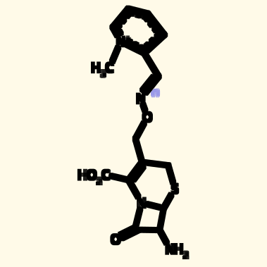 C[n+]1ccccc1/C=N/OCC1=C(C(=O)O)N2C(=O)C(N)C2SC1